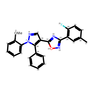 COc1ccccc1-n1ncc(-c2nc(-c3cc(C)ccc3F)no2)c1-c1ccccc1